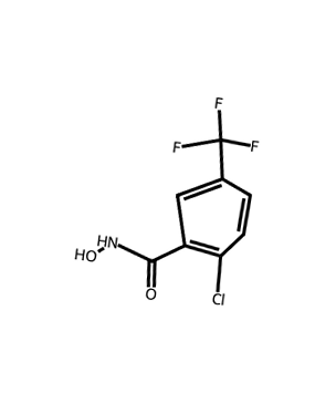 O=C(NO)c1cc(C(F)(F)F)ccc1Cl